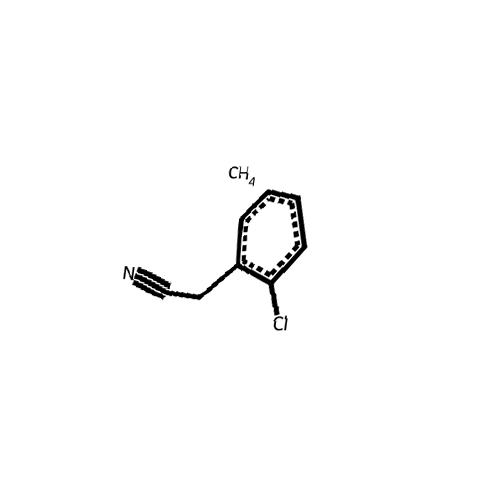 C.N#CCc1ccccc1Cl